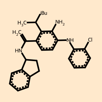 C=C(NC1CCc2ccccc21)c1ccc(Nc2ccccc2Cl)c(N)c1C(C)C(C)CC